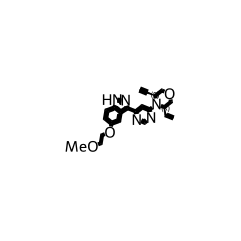 C#C[C@H]1COC[C@@H](C=C)N1c1cc(-c2n[nH]c3ccc(OCCOC)cc23)ncn1